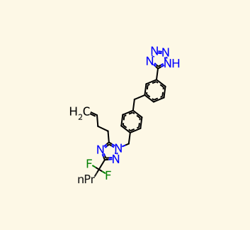 C=CCCc1nc(C(F)(F)CCC)nn1Cc1ccc(Cc2cccc(-c3nnn[nH]3)c2)cc1